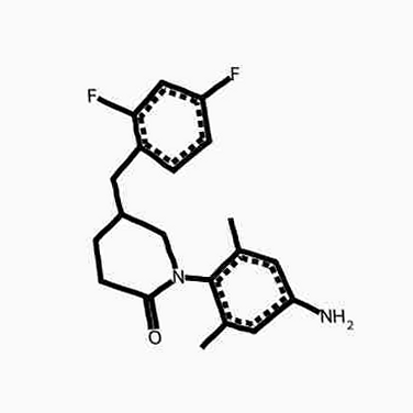 Cc1cc(N)cc(C)c1N1CC(Cc2ccc(F)cc2F)CCC1=O